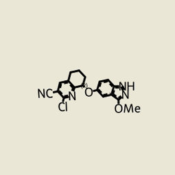 COc1n[nH]c2ccc(O[C@@H]3CCCc4cc(C#N)c(Cl)nc43)cc12